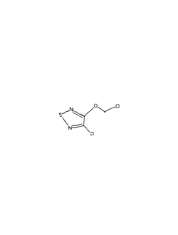 ClCOc1nsnc1Cl